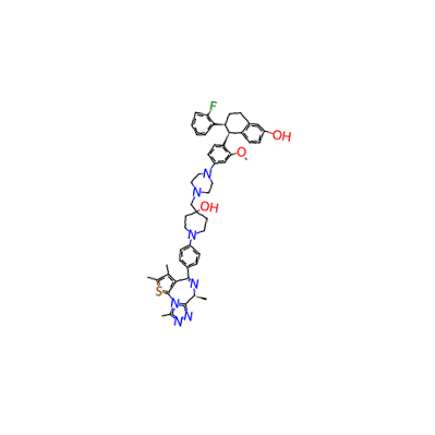 COc1cc(N2CCN(CC3(O)CCN(c4ccc(C5=N[C@@H](C)c6nnc(C)n6-c6sc(C)c(C)c65)cc4)CC3)CC2)ccc1[C@@H]1c2ccc(O)cc2CC[C@@H]1c1ccccc1F